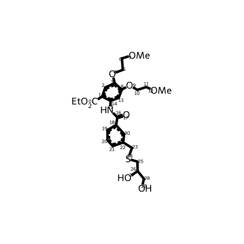 CCOC(=O)c1cc(OCCOC)c(OCCOC)cc1NC(=O)c1cccc(CSCC(O)CO)c1